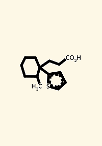 CC1CCCCC1(CCC(=O)O)c1cccs1